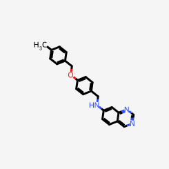 Cc1ccc(COc2ccc(CNc3ccc4cncnc4c3)cc2)cc1